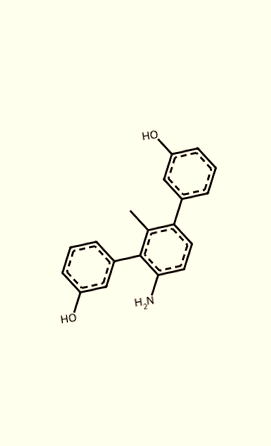 Cc1c(-c2cccc(O)c2)ccc(N)c1-c1cccc(O)c1